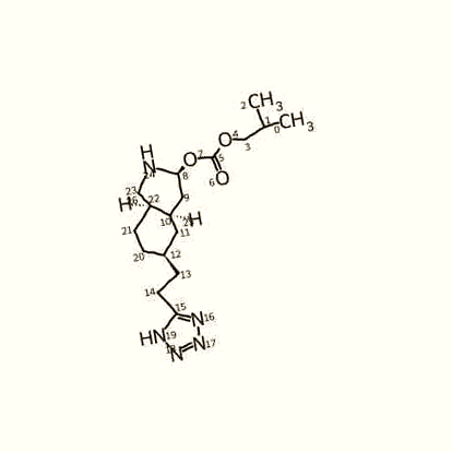 CC(C)COC(=O)O[C@H]1C[C@H]2C[C@@H](CCc3nnn[nH]3)CC[C@H]2CN1